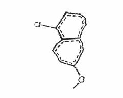 COc1ccc2c(Cl)cccc2c1